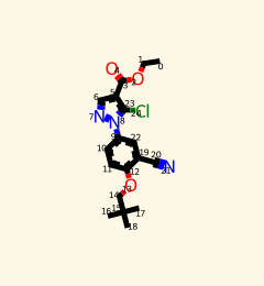 CCOC(=O)c1cnn(-c2ccc(OCC(C)(C)C)c(C#N)c2)c1Cl